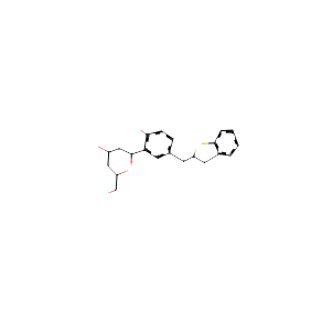 OCC1CC(O)CC(c2cc(CC3Cc4ccccc4S3)ccc2O)O1